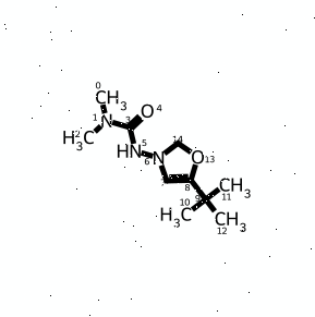 CN(C)C(=O)NN1C=C(C(C)(C)C)OC1